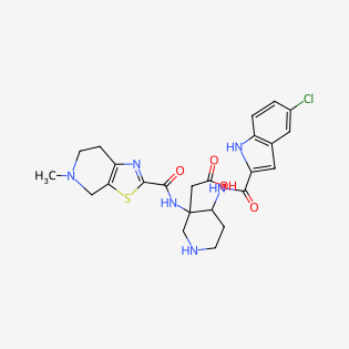 CN1CCc2nc(C(=O)NC3(CC(=O)O)CNCCC3NC(=O)c3cc4cc(Cl)ccc4[nH]3)sc2C1